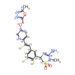 Cc1nnc(COc2cnc(/C(F)=C/c3cc(F)c(F)c(C4CS(=O)(=O)N(C)C(N)=N4)c3)cn2)o1